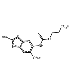 COc1cc2nc(C(C)(C)C)sc2cc1NC(=S)OCCC(=O)O